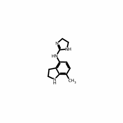 Cc1ccc(NC2=NCCN2)c2c1NCC2